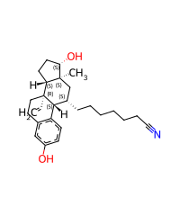 C=C[C@@]12CCc3cc(O)ccc3[C@H]1[C@@H](CCCCCCC#N)C[C@@]1(C)[C@H]2CC[C@@H]1O